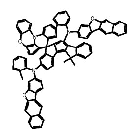 Cc1ccccc1N(c1ccc2c(c1)C1(c3ccccc3N3c4ccccc4Oc4cccc1c43)c1cc(N(c3ccc4c(c3)oc3cc5ccccc5cc34)c3ccccc3C)c3c(c1-2)C(C)(C)c1ccccc1-3)c1ccc2c(c1)oc1cc3ccccc3cc12